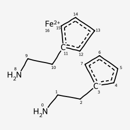 NCC[c-]1cccc1.NCC[c-]1cccc1.[Fe+2]